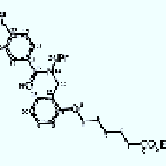 CCOC(=O)CCCCCOc1ccccc1CN(C(=O)c1ccc(CC)cc1)C(C)C